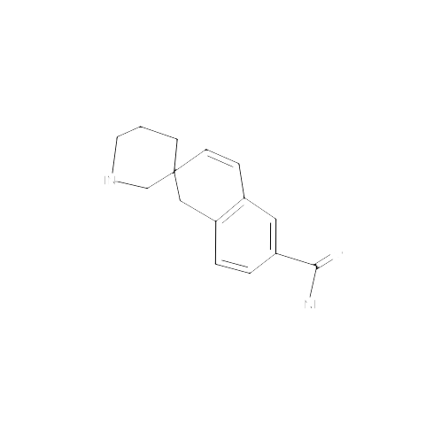 NC(=O)c1ccc2c(c1)C=CC1(CCCNC1)C2